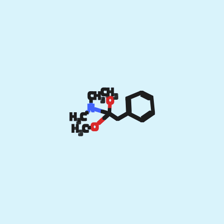 COC(Cc1ccccc1)(OC)N(C)C